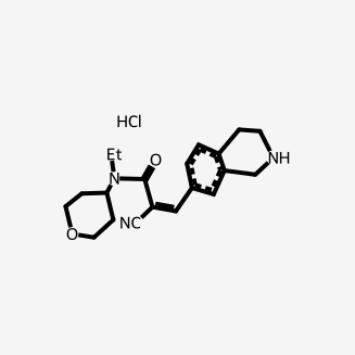 CCN(C(=O)C(C#N)=Cc1ccc2c(c1)CNCC2)C1CCOCC1.Cl